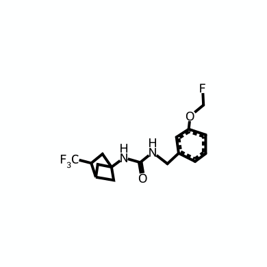 O=C(NCc1cccc(OCF)c1)NC12CC(C1)C(C(F)(F)F)C2